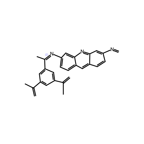 C=Nc1ccc2cc3ccc(/N=C(/C)c4cc(C(=C)C)cc(C(=C)C)c4)cc3nc2c1